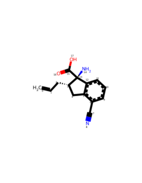 C=CC[C@H]1Cc2c(C#N)cccc2[C@@]1(N)C(=O)O